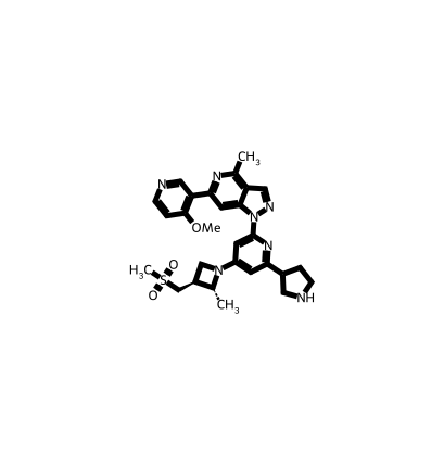 COc1ccncc1-c1cc2c(cnn2-c2cc(N3C[C@H](CS(C)(=O)=O)[C@H]3C)cc(C3CCNC3)n2)c(C)n1